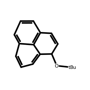 CC(C)(C)OC1C=Cc2cccc3cccc1c23